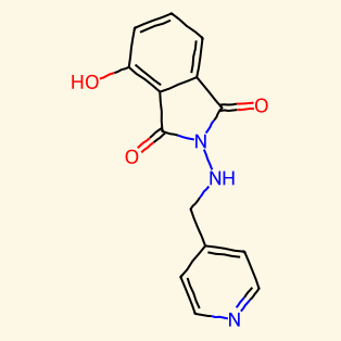 O=C1c2cccc(O)c2C(=O)N1NCc1ccncc1